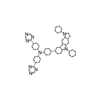 c1ccc(-n2ccc3cc4c(cc32)c2cc(-c3ccc(N(c5ccc(-c6ncncn6)cc5)c5ccc(-c6ncncn6)cc5)cc3)ccc2n4-c2ccccc2)cc1